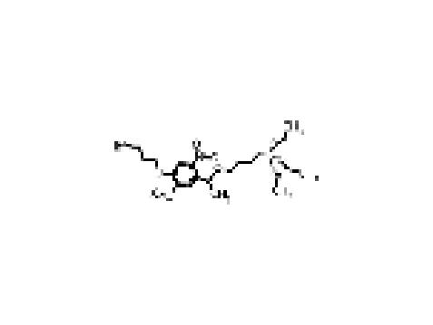 CCO[Si](CCCCOC(C)c1cc(OC)c(OCC[CH2][Rf])cc1[N+](=O)[O-])(OCC)OCC